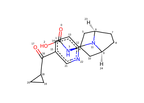 O=C(O)N[C@H]1C[C@H]2CC[C@@H](C1)N2c1ccc(C(=O)C2CC2)cn1